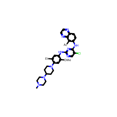 CCc1cc(Nc2ncc(Cl)c(Nc3ccc4nccnc4c3C(C)=O)n2)c(OC)cc1N1CCC(N2CCN(C)CC2)CC1